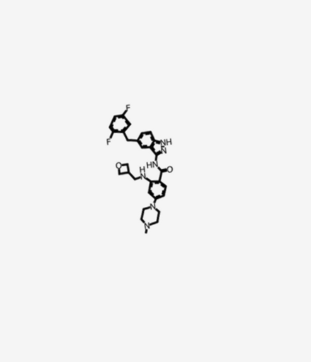 CN1CCN(c2ccc(C(=O)Nc3n[nH]c4ccc(Cc5cc(F)ccc5F)cc34)c(NCC3COC3)c2)CC1